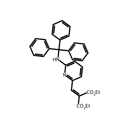 CCOC(=O)C(=Cc1cccc(NC(c2ccccc2)(c2ccccc2)c2ccccc2)n1)C(=O)OCC